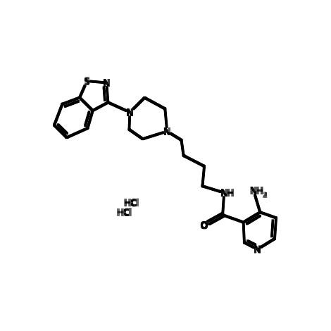 Cl.Cl.Nc1ccncc1C(=O)NCCCCN1CCN(c2nsc3ccccc23)CC1